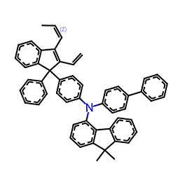 C=CC1=C(/C=C\C)c2ccccc2C1(c1ccccc1)c1ccc(N(c2ccc(-c3ccccc3)cc2)c2cccc3c2-c2ccccc2C3(C)C)cc1